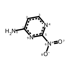 Nc1ccnc([N+](=O)[O-])n1